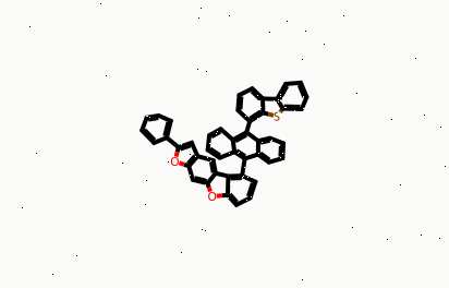 c1ccc(-c2cc3cc4c(cc3o2)oc2cccc(-c3c5ccccc5c(-c5cccc6c5sc5ccccc56)c5ccccc35)c24)cc1